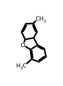 CC1=CC2c3cccc(C)c3OC2C=C1